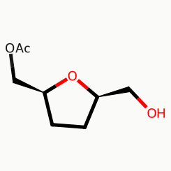 CC(=O)OC[C@@H]1CC[C@H](CO)O1